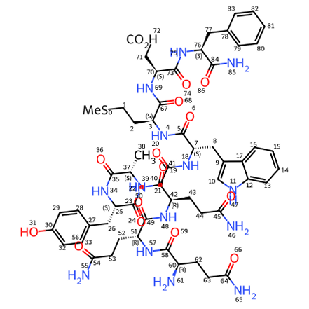 CSCC[C@H](NC(=O)[C@H](Cc1c[nH]c2ccccc12)NC(=O)CNC(=O)[C@H](Cc1ccc(O)cc1)NC(=O)[C@H](C)NC(=O)[C@@H](CCC(N)=O)NC(=O)[C@@H](CCC(N)=O)NC(=O)[C@H](N)CCC(N)=O)C(=O)N[C@@H](CC(=O)O)C(=O)N[C@@H](Cc1ccccc1)C(N)=O